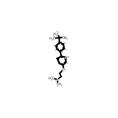 CN(C)CCOc1ccc(-c2ccc(C(C)(C)C)cc2)nc1